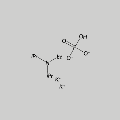 CCN(C(C)C)C(C)C.O=P([O-])([O-])O.[K+].[K+]